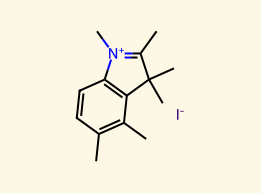 CC1=[N+](C)c2ccc(C)c(C)c2C1(C)C.[I-]